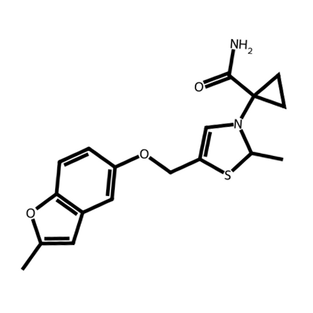 Cc1cc2cc(OCC3=CN(C4(C(N)=O)CC4)C(C)S3)ccc2o1